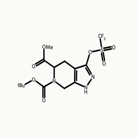 COC(=O)C1Cc2c(OS(=O)(=O)C(F)(F)F)n[nH]c2CN1C(=O)OC(C)(C)C